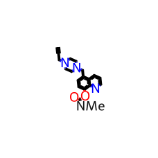 C#CCN1CCN(Cc2ccc(OC(=O)NC)c3ncccc23)CC1